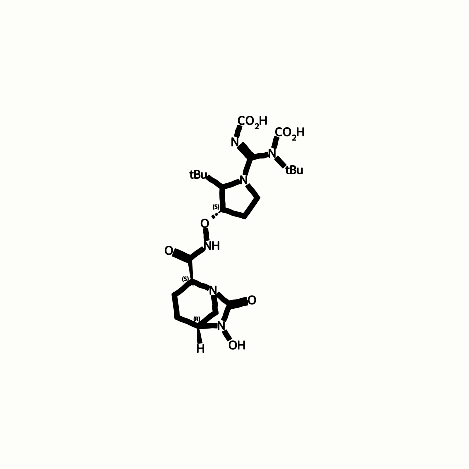 CC(C)(C)C1[C@@H](ONC(=O)[C@@H]2CC[C@@H]3CN2C(=O)N3O)CCN1C(=NC(=O)O)N(C(=O)O)C(C)(C)C